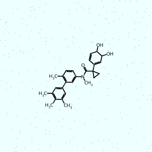 Cc1ccc(N(C)C(=O)C2(C3=CC(O)C(O)C=C3)CC2)cc1-c1cc(C)c(C)c(C)c1